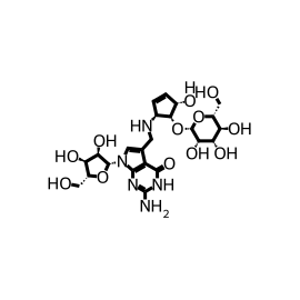 Nc1nc2c(c(CN[C@H]3C=C[C@H](O)[C@@H]3O[C@@H]3O[C@H](CO)[C@@H](O)[C@H](O)[C@@H]3O)cn2[C@@H]2O[C@H](CO)[C@@H](O)[C@H]2O)c(=O)[nH]1